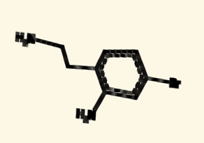 NCCc1ccc(Br)cc1N